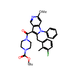 COc1cc2c(cn1)c(C(=O)N1CCN(C(=O)OC(C)(C)C)CC1)c(Cc1cccc(F)c1C)n2-c1ccccc1